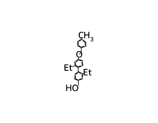 CCc1cc(CO)ccc1-c1ccc(OCc2ccc(C)cc2)cc1CC